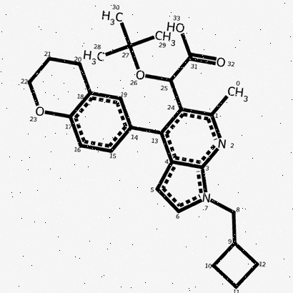 Cc1nc2c(ccn2CC2CCC2)c(-c2ccc3c(c2)CCCO3)c1C(OC(C)(C)C)C(=O)O